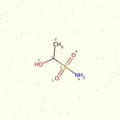 CC(O)S(N)(=O)=O